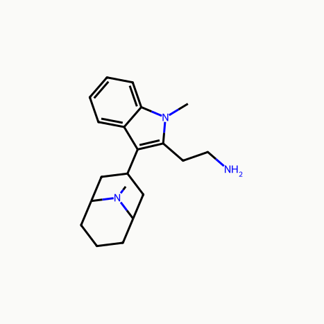 CN1C2CCCC1CC(c1c(CCN)n(C)c3ccccc13)C2